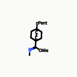 CCCCCC12CCC(/C(=N/C)OC)(CC1)CC2